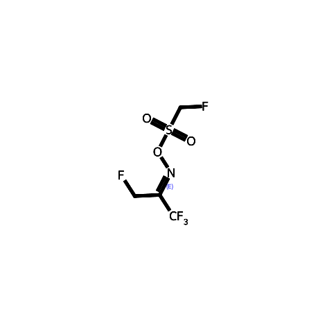 O=S(=O)(CF)O/N=C(\CF)C(F)(F)F